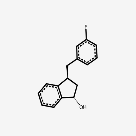 O[C@H]1C[C@H](Cc2cccc(F)c2)c2ccccc21